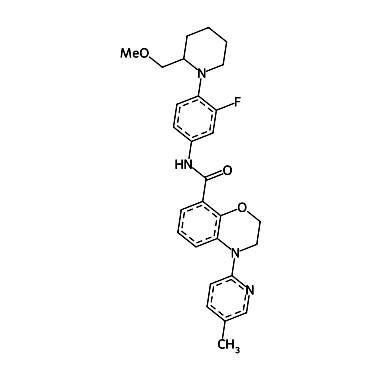 COCC1CCCCN1c1ccc(NC(=O)c2cccc3c2OCCN3c2ccc(C)cn2)cc1F